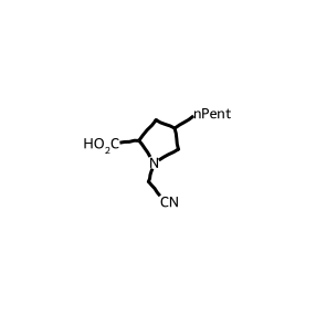 CCCCCC1CC(C(=O)O)N(CC#N)C1